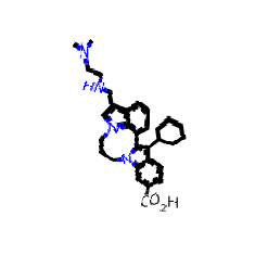 CN(C)CCNCc1cn2c3c(cccc13)-c1c(C3CCCCC3)c3ccc(C(=O)O)cc3n1CCC2